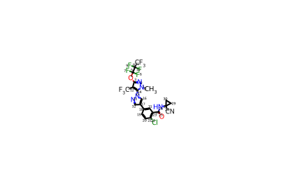 Cn1nc(OC(F)(F)C(F)(F)C(F)(F)F)c(C(F)(F)F)c1-n1cc(-c2ccc(Cl)c(C(=O)NC3(C#N)CC3)c2)cn1